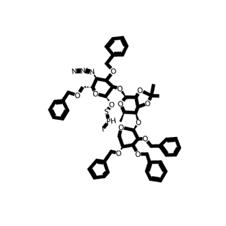 C[C@H]1O[C@@H](OC2C(OCc3ccccc3)[C@@H](N=[N+]=[N-])[C@@H](COCc3ccccc3)O[C@H]2OSPI)C2OC(C)(C)OC2[C@H]1O[C@@H]1OC[C@@H](OCc2ccccc2)C(OCc2ccccc2)C1OCc1ccccc1